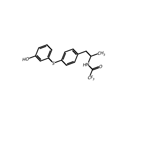 CC(Cc1ccc(Sc2cccc(O)c2)cc1)NC(=O)C(F)(F)F